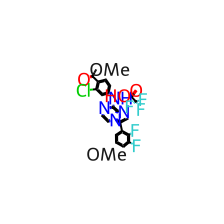 COC(=O)c1ccc(Nc2nccn3c(-c4ccc(OC)c(F)c4F)cnc23)cc1Cl.O=C(O)C(F)(F)F